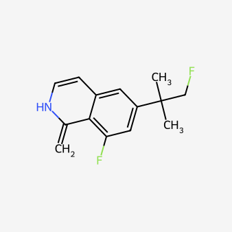 C=C1NC=Cc2cc(C(C)(C)CF)cc(F)c21